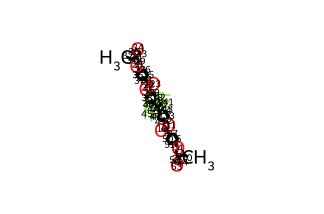 CCC1(COc2ccc(C(=O)Oc3ccc(C(c4ccc(OC(=O)c5ccc(OCC6(CC)COC6)cc5)cc4)(C(F)(F)F)C(F)(F)F)cc3)cc2)COC1